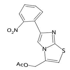 CC(=O)OCc1csc2nc(-c3ccccc3[N+](=O)[O-])cn12